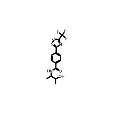 CC(O)C(C)NC(=O)c1ccc(-c2noc(C(F)(F)F)n2)cc1